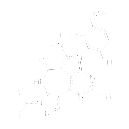 COc1ccc(C)c(-n2c(N)c3c4c(nc(C)nc42)-c2cnn(C(F)F)c2NC3=O)c1C